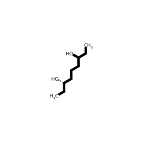 CCC(O)CCC[C@@H](O)CC